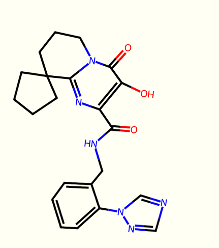 O=C(NCc1ccccc1-n1cncn1)c1nc2n(c(=O)c1O)CCCC21CCCC1